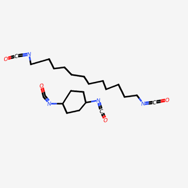 O=C=NC1CCC(N=C=O)CC1.O=C=NCCCCCCCCCCCCN=C=O